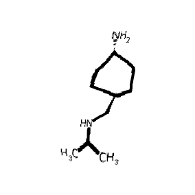 CC(C)NC[C@H]1CC[C@H](N)CC1